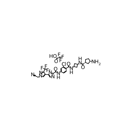 Cn1c(-c2cn(CC#N)nc2C(F)(F)F)cnc1C(=O)Nc1ccc(C(=O)NC2CC(NC(=O)[C@H]3CC[C@@H](N)C3)C2)c(Cl)c1.O=C(O)C(F)(F)F